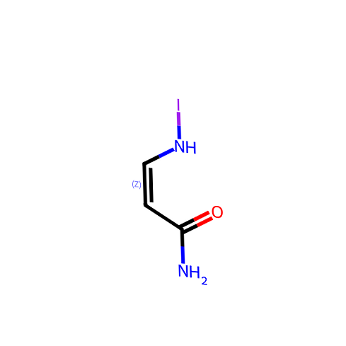 NC(=O)/C=C\NI